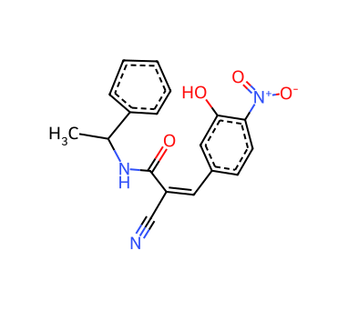 CC(NC(=O)C(C#N)=Cc1ccc([N+](=O)[O-])c(O)c1)c1ccccc1